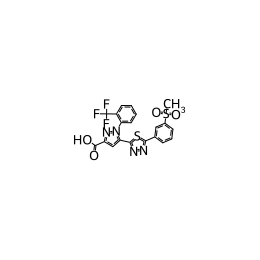 CS(=O)(=O)c1cccc(-c2nnc(-c3cc(C(=O)O)nn3-c3ccccc3C(F)(F)F)s2)c1